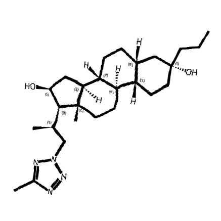 CCC[C@@]1(O)CC[C@H]2[C@H](CC[C@@H]3[C@@H]2CC[C@]2(C)[C@@H]([C@H](C)Cn4nnc(C)n4)[C@@H](O)C[C@@H]32)C1